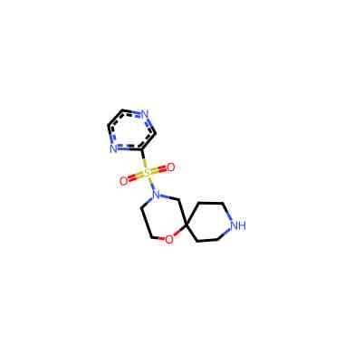 O=S(=O)(c1cnccn1)N1CCOC2(CCNCC2)C1